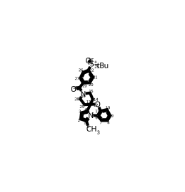 Cc1ccc2n1-c1ccccc1OC21CCN(C(=O)c2ccc([S@+]([O-])C(C)(C)C)cc2)CC1